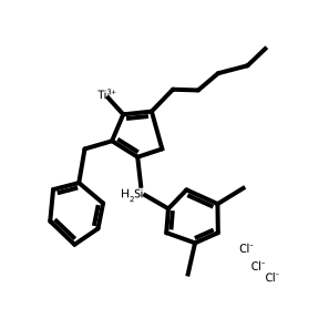 CCCCCC1=[C]([Ti+3])C(Cc2ccccc2)=C([SiH2]c2cc(C)cc(C)c2)C1.[Cl-].[Cl-].[Cl-]